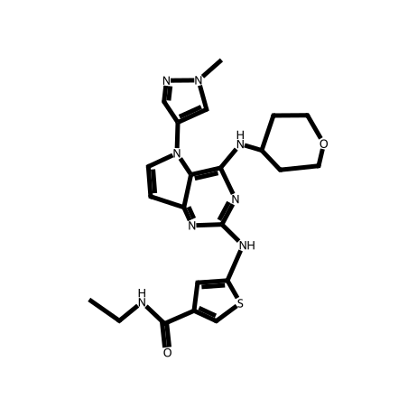 CCNC(=O)c1csc(Nc2nc(NC3CCOCC3)c3c(ccn3-c3cnn(C)c3)n2)c1